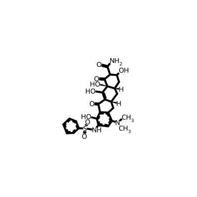 CN(C)c1cc(NS(=O)(=O)c2ccccc2)c(O)c2c1C[C@H]1C[C@H]3CC(O)C(C(N)=O)C(=O)[C@@]3(O)C(O)=C1C2=O